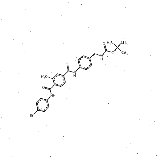 Cc1cc(C(=O)Nc2ccc(CNC(=O)OC(C)(C)C)cc2)ccc1C(=O)Nc1ccc(Br)cc1